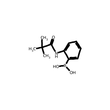 CC(C)(C)C(=O)Nc1ccccc1B(O)O